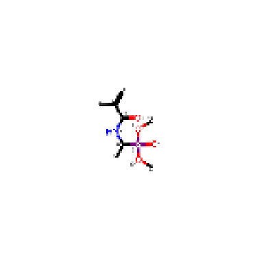 C=C(C)C(=O)NC(C)P(=O)(OC)OC